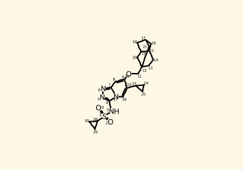 O=S(=O)(Nc1nnc2cc(OCC34CCC5CC(CC5C3)C4)c(C3CC3)cn12)C1CC1